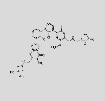 COc1nc(-c2cccc(-c3cccc(-c4cc5c(=O)n(C)c(CNC6CC(C)(O)C6)nn5c4)c3Cl)c2Cl)c(F)cc1CNCC1CCC(=O)N1